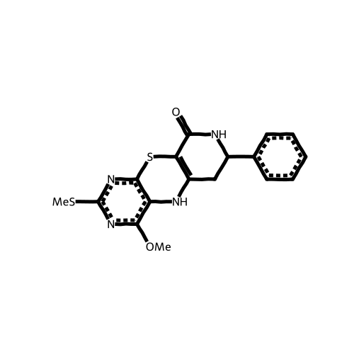 COc1nc(SC)nc2c1NC1=C(S2)C(=O)NC(c2ccccc2)C1